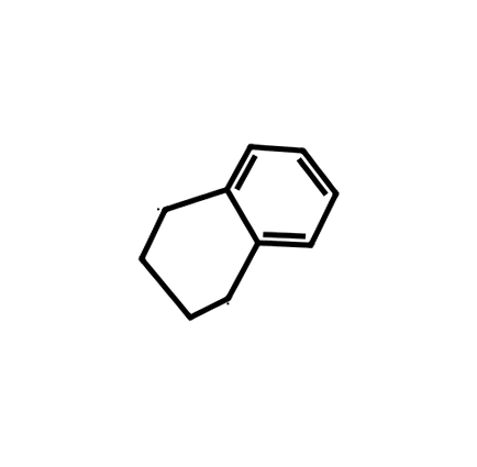 [CH]1CC[CH]c2ccccc21